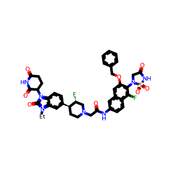 CCn1c(=O)n(C2CCC(=O)NC2=O)c2ccc([C@@H]3CCN(CC(=O)Nc4ccc5c(F)c(N6CC(=O)NS6(=O)=O)c(OCc6ccccc6)cc5c4)C[C@H]3F)cc21